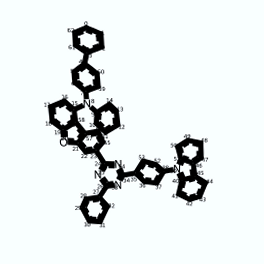 c1ccc(-c2ccc(N(c3ccccc3)c3cccc4oc5cc(-c6nc(-c7ccccc7)nc(-c7ccc(-n8c9ccccc9c9ccccc98)cc7)n6)ccc5c34)cc2)cc1